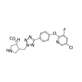 O=C(O)C1CNCC1Cn1nnc(-c2ccc(Oc3ncc(Cl)cc3F)cc2)n1